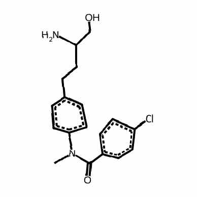 CN(C(=O)c1ccc(Cl)cc1)c1ccc(CCC(N)CO)cc1